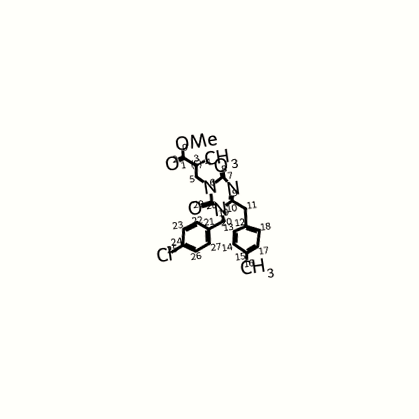 COC(=O)[C@@H](C)Cn1c(=O)nc(Cc2ccc(C)cc2)n(Cc2ccc(Cl)cc2)c1=O